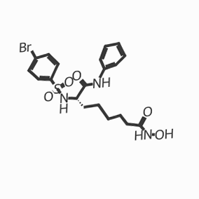 O=C(CCCCC[C@H](NS(=O)(=O)c1ccc(Br)cc1)C(=O)Nc1ccccc1)NO